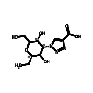 BC[C@H]1OC(CO)[C@H](O)[C@H](n2cc(C(=O)O)nn2)C1O